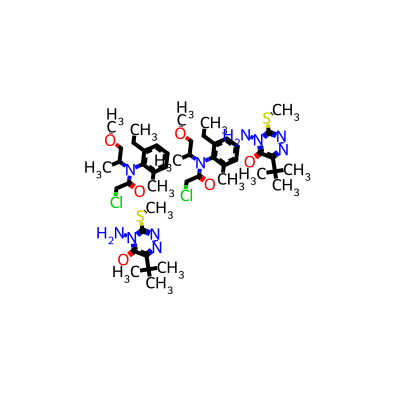 CCc1cccc(C)c1N(C(=O)CCl)C(C)COC.CCc1cccc(C)c1N(C(=O)CCl)C(C)COC.CSc1nnc(C(C)(C)C)c(=O)n1N.CSc1nnc(C(C)(C)C)c(=O)n1N